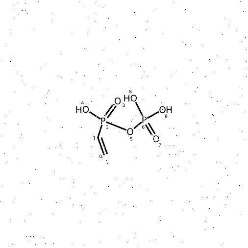 C=CP(=O)(O)OP(=O)(O)O